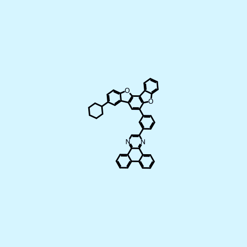 c1cc(-c2cnc3c4ccccc4c4ccccc4c3n2)cc(-c2cc3c4cc(C5CCCCC5)ccc4oc3c3c2oc2ccccc23)c1